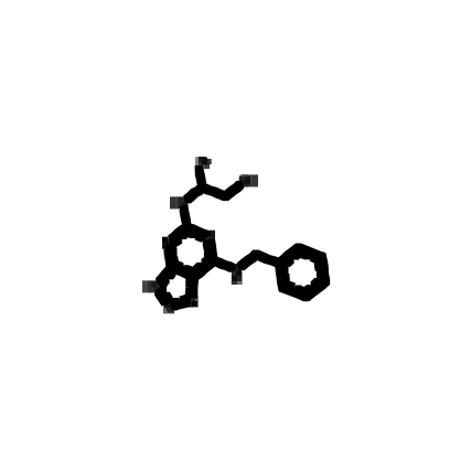 CC(C)C(CO)Nc1nc(NCc2ccccc2)c2nn[nH]c2n1